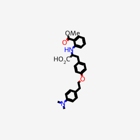 COC(=O)c1ccccc1NC(Cc1ccc(OCCc2ccc(N(C)C)cc2)cc1)C(=O)O